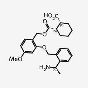 COc1ccc(COC(=O)[C@H]2CCCC[C@H]2C(=O)O)c(OCc2ccccc2[C@@H](C)N)c1